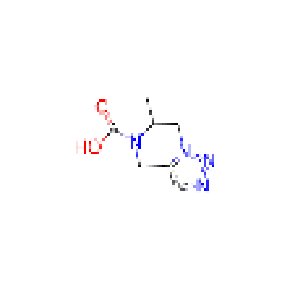 CC1Cn2nncc2CN1C(=O)O